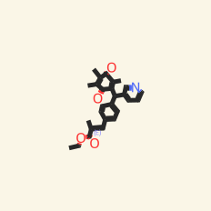 CCOC(=O)/C(C)=C/c1ccc(C(C2=C(C)C(=O)C(C)=C(C)C2=O)c2cccnc2)cc1